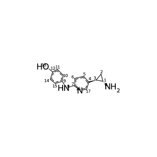 N[C@H]1C[C@@H]1c1ccc(Nc2ccc(O)cc2)nc1